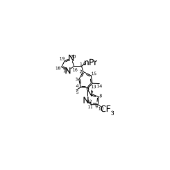 CCCC(c1cc(C)c(-n2cc(C(F)(F)F)cn2)c(C)c1)C1N=CC=N1